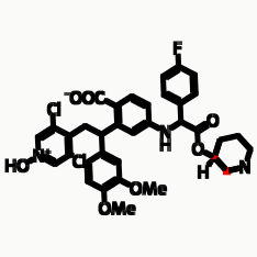 COc1ccc(C(Cc2c(Cl)c[n+](O)cc2Cl)c2cc(NC(C(=O)O[C@H]3CN4CCC3CC4)c3ccc(F)cc3)ccc2C(=O)[O-])cc1OC